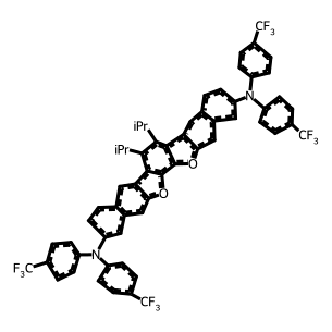 CC(C)c1c(C(C)C)c2c3cc4ccc(N(c5ccc(C(F)(F)F)cc5)c5ccc(C(F)(F)F)cc5)cc4cc3oc2c2oc3cc4cc(N(c5ccc(C(F)(F)F)cc5)c5ccc(C(F)(F)F)cc5)ccc4cc3c12